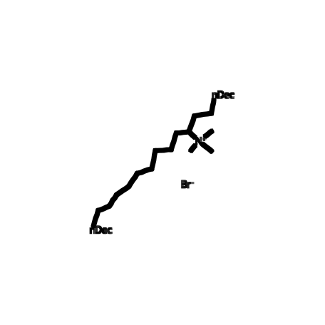 CCCCCCCCCCCCCCCCCCCC(CCCCCCCCCCCC)[N+](C)(C)C.[Br-]